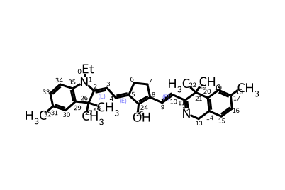 CCN1/C(=C/C=C2\CCC(/C=C/C3=NCc4ccc(C)cc4C3(C)C)=C2O)C(C)(C)c2cc(C)ccc21